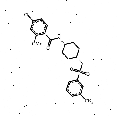 COc1cc(Cl)ccc1C(=O)N[C@H]1CC[C@@H](CS(=O)(=O)c2cccc(C)c2)CC1